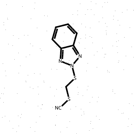 N#CSCSn1nc2ccccc2n1